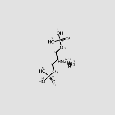 Cl.O=P(O)(O)OCCCOP(=O)(O)O.[NaH].[NaH]